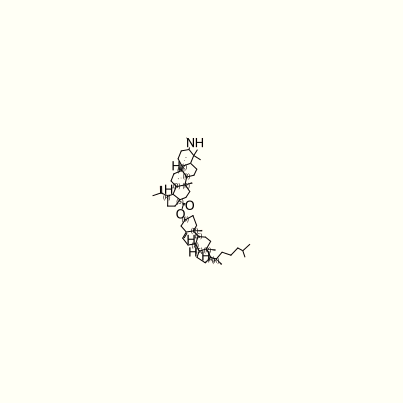 C=C(C)[C@@H]1CC[C@]2(C(=O)O[C@H]3CC[C@@]4(C)C(=CC[C@H]5[C@@H]6CC[C@H]([C@H](C)CCCC(C)C)[C@@]6(C)CC[C@@H]54)C3)CC[C@]3(C)[C@H](CC[C@@H]4[C@@]5(C)CCC(NC)C(C)(C)C5CC[C@]43C)C12